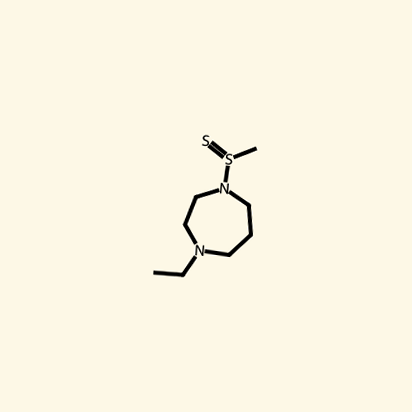 CCN1CCCN(S(C)=S)CC1